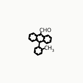 Cc1ccccc1-c1c2ccccc2c(C=O)c2ccccc12